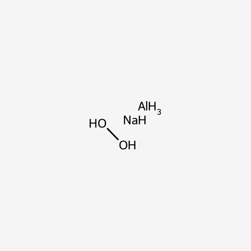 OO.[AlH3].[NaH]